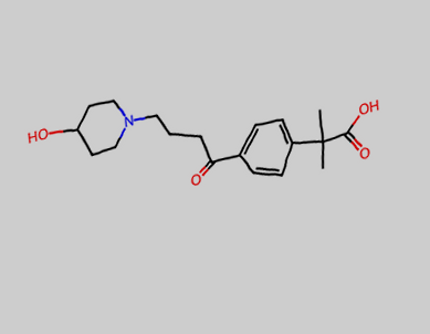 CC(C)(C(=O)O)c1ccc(C(=O)CCCN2CCC(O)CC2)cc1